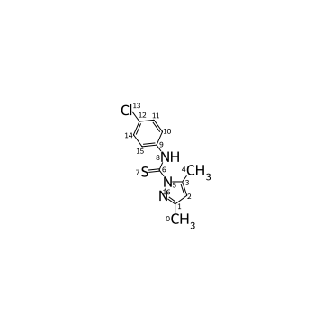 Cc1cc(C)n(C(=S)Nc2ccc(Cl)cc2)n1